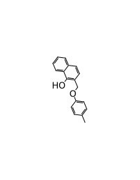 Cc1ccc(OCc2ccc3ccccc3c2O)cc1